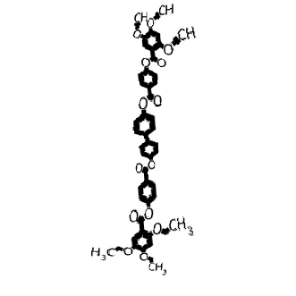 C#COc1cc(OC#C)c(C(=O)Oc2ccc(C(=O)Oc3ccc(-c4ccc(OC(=O)c5ccc(OC(=O)c6cc(OCC)c(OCC)cc6OCC)cc5)cc4)cc3)cc2)cc1OC#C